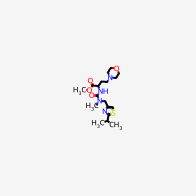 COC(=O)C(CCN1CCOCC1)NC(=O)N(C)Cc1csc(C(C)C)n1